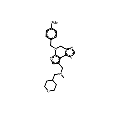 COc1ccc(CN2Cn3ncnc3-c3c(CN(C)CC4CCOCC4)csc32)cc1